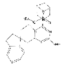 CSc1nc2c(c(N3CC4CC(C3)N4C(=O)OC(C)(C)C)n1)CCC1(CCc3ccccc31)C2